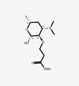 COC(=O)CCO[C@H]1[C@H](O)O[C@H](C)C[C@@H]1N(C)C